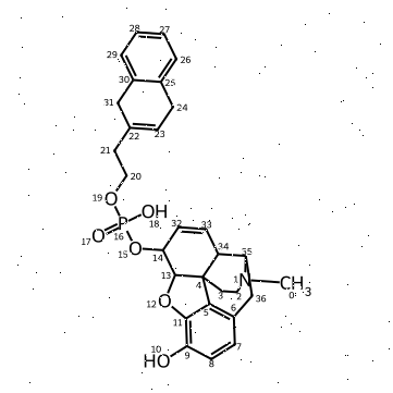 CN1CCC23c4c5ccc(O)c4OC2C(OP(=O)(O)OCCC2=CCc4ccccc4C2)C=CC3C1C5